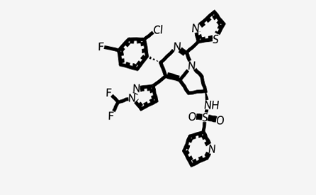 O=S(=O)(N[C@H]1CC2=C(c3ccn(C(F)F)n3)[C@H](c3ccc(F)cc3Cl)N=C(c3nccs3)N2C1)c1ccccn1